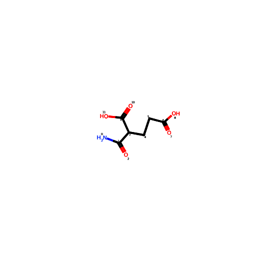 NC(=O)C(CCC(=O)O)C(=O)O